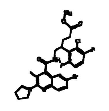 Cc1c(N2CCCC2)nc2ccc(Br)cc2c1C(=O)NCC(CCC(=O)OC(C)(C)C)c1c(F)ccc(F)c1Cl